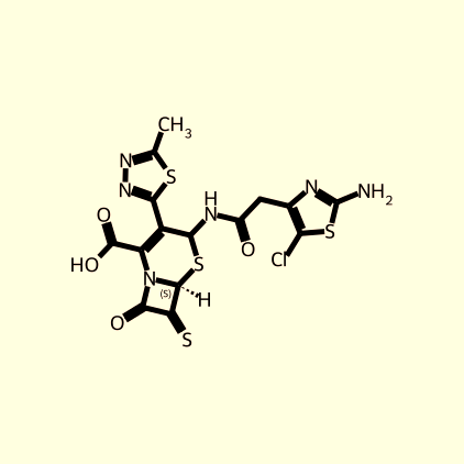 Cc1nnc(C2=C(C(=O)O)N3C(=O)C(=S)[C@@H]3SC2NC(=O)Cc2nc(N)sc2Cl)s1